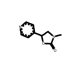 CN1CC(c2ccncc2)OC1=O